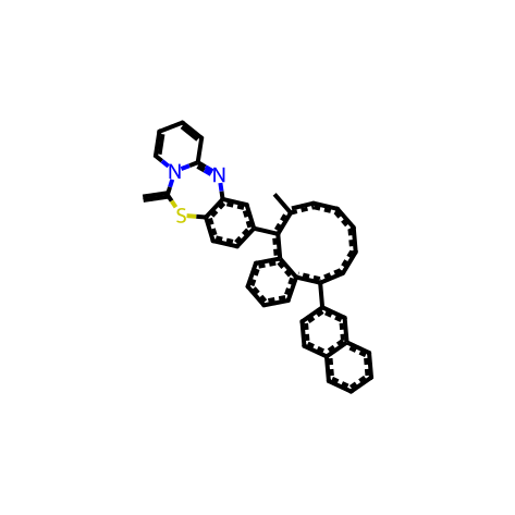 C=C1Sc2ccc(-c3c(C)cccccc(-c4ccc5ccccc5c4)c4ccccc34)cc2N=C2C=CC=CN12